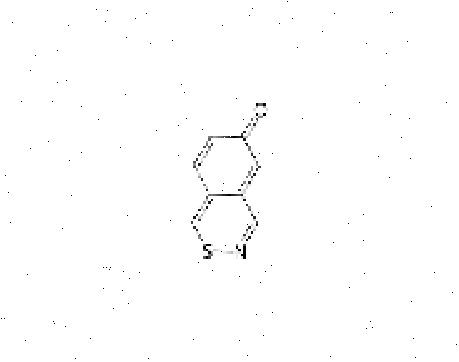 O=c1ccc2csncc-2c1